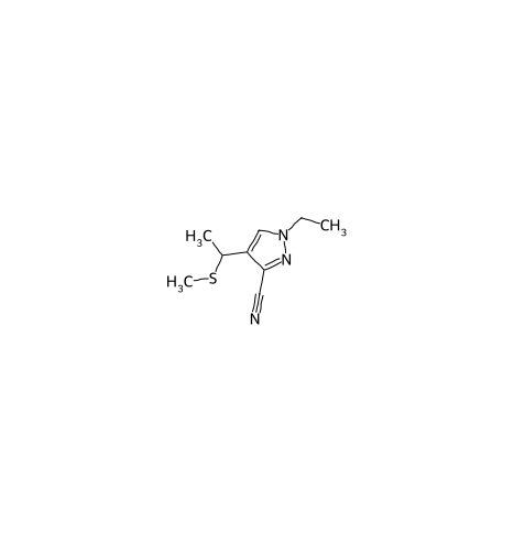 CCn1cc(C(C)SC)c(C#N)n1